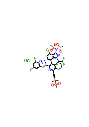 CC(C)(C#Cc1nc([C@@H](N)Cc2cc(F)cc(F)c2)c(-c2ccc(Cl)c3c(N(S(C)(=O)=O)S(C)(=O)=O)nn(C(F)C(F)F)c23)c2c1CCCC2)S(C)(=O)=O.Cl